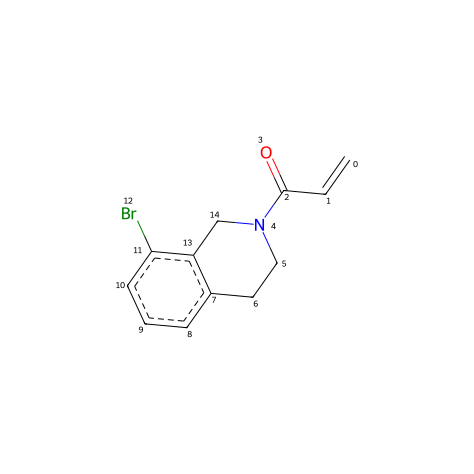 C=CC(=O)N1CCc2cccc(Br)c2C1